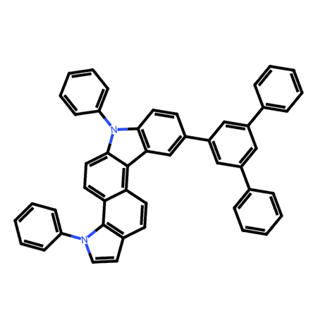 c1ccc(-c2cc(-c3ccccc3)cc(-c3ccc4c(c3)c3c5ccc6ccn(-c7ccccc7)c6c5ccc3n4-c3ccccc3)c2)cc1